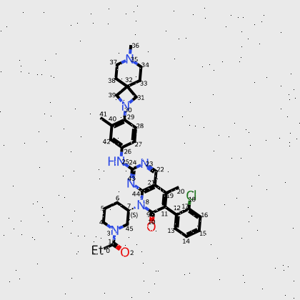 CCC(=O)N1CCC[C@H](n2c(=O)c(-c3ccccc3Cl)c(C)c3cnc(Nc4ccc(N5CC6(CCN(C)CC6)C5)c(C)c4)nc32)C1